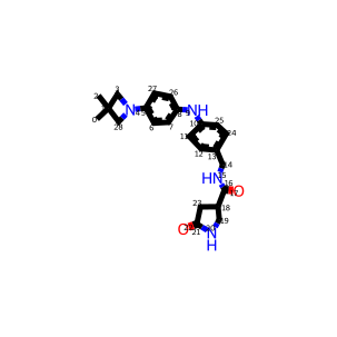 CC1(C)CN(c2ccc(Nc3ccc(CNC(=O)C4CNC(=O)C4)cc3)cc2)C1